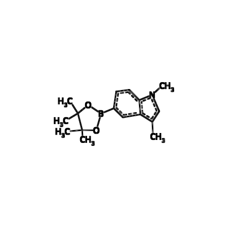 Cc1cn(C)c2ccc(B3OC(C)(C)C(C)(C)O3)cc12